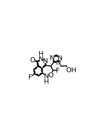 O=c1[nH]nc2c3c(cc(F)cc13)NOC(F)C2c1ncnn1CCO